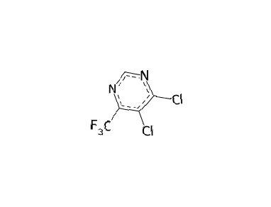 FC(F)(F)c1ncnc(Cl)c1Cl